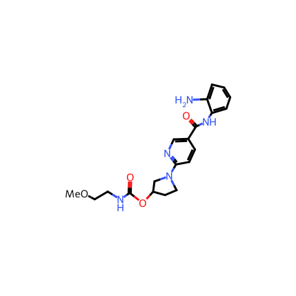 COCCNC(=O)OC1CCN(c2ccc(C(=O)Nc3ccccc3N)cn2)C1